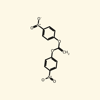 C=C(Oc1ccc([N+](=O)[O-])cc1)Oc1ccc([N+](=O)[O-])cc1